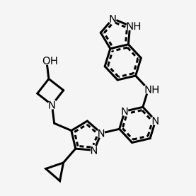 OC1CN(Cc2cn(-c3ccnc(Nc4ccc5cn[nH]c5c4)n3)nc2C2CC2)C1